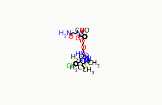 Cc1sc2c(c1C)C(c1ccc(Cl)cc1)=N[C@](C)(C(=O)NCCOCCOc1cccc3c1C(=O)N(C(C=O)CCC(N)=O)C3=O)c1nnc(C)n1-2